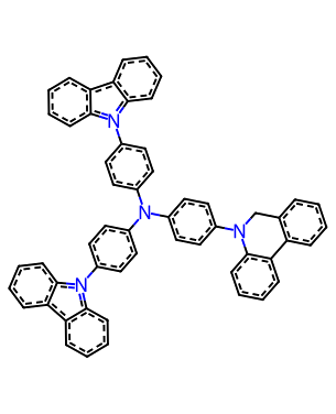 c1ccc2c(c1)CN(c1ccc(N(c3ccc(-n4c5ccccc5c5ccccc54)cc3)c3ccc(-n4c5ccccc5c5ccccc54)cc3)cc1)c1ccccc1-2